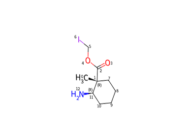 C[C@@]1(C(=O)OCI)CCCC[C@H]1N